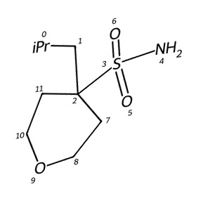 CC(C)CC1(S(N)(=O)=O)CCOCC1